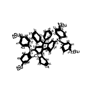 CC(C)(C)c1ccc(N(c2ccc(C(C)(C)C)cc2)c2ccc3c(c2)C(c2ccccc2)(c2ccccc2)c2cc(N(c4ccc(C(C)(C)C)cc4)c4ccc(C(C)(C)C)cc4)c4oc5ccccc5c4c2-3)cc1